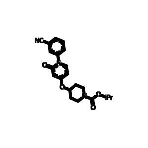 CC(C)OC(=O)N1CCC(Oc2ccn(-c3cccc(C#N)c3)c(=O)c2)CC1